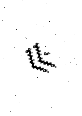 CCCCCC/C=C\CCCCCCCC(=O)[O-].CCCCCC/C=C\CCCCCCCC(=O)[O-].[Ca+2]